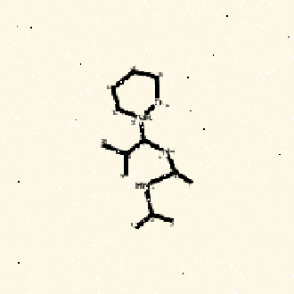 CC(C)NC(C)NC(C(C)C)[SiH]1CCCCO1